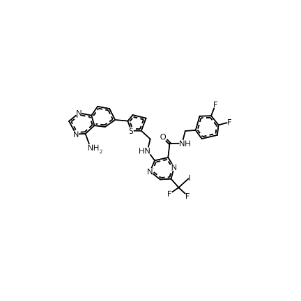 Nc1ncnc2ccc(-c3ccc(CNc4ncc(C(F)(F)I)nc4C(=O)NCc4ccc(F)c(F)c4)s3)cc12